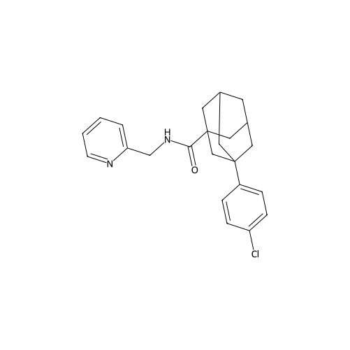 O=C(NCc1ccccn1)C12CC3CC(C1)CC(c1ccc(Cl)cc1)(C3)C2